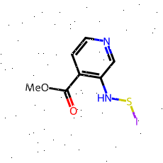 COC(=O)c1ccncc1NSI